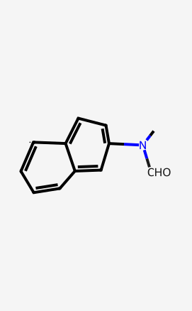 CN(C=O)c1ccc2[c]cccc2c1